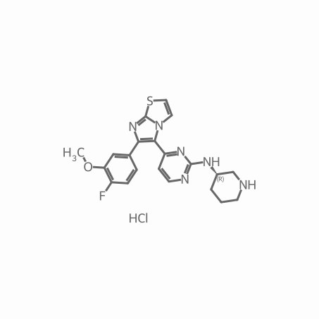 COc1cc(-c2nc3sccn3c2-c2ccnc(N[C@@H]3CCCNC3)n2)ccc1F.Cl